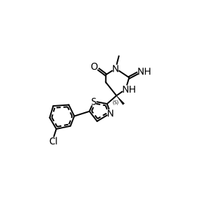 CN1C(=N)N[C@](C)(c2ncc(-c3cccc(Cl)c3)s2)CC1=O